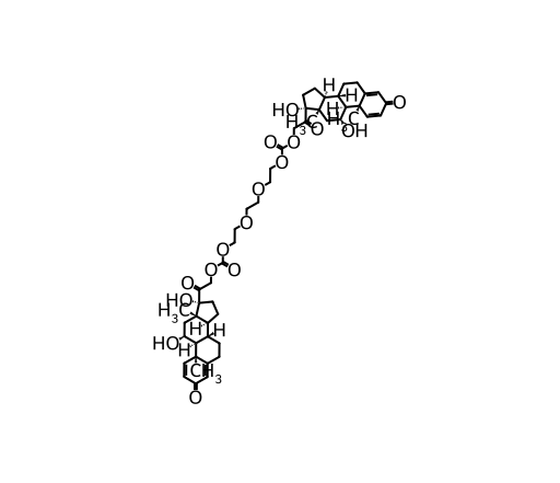 C[C@]12C=CC(=O)C=C1CC[C@@H]1[C@@H]2[C@@H](O)C[C@@]2(C)[C@H]1CC[C@]2(O)C(=O)COC(=O)OCCOCCOCCOC(=O)OCC(=O)[C@@]1(O)CC[C@H]2[C@@H]3CCC4=CC(=O)C=C[C@]4(C)[C@H]3[C@@H](O)C[C@@]21C